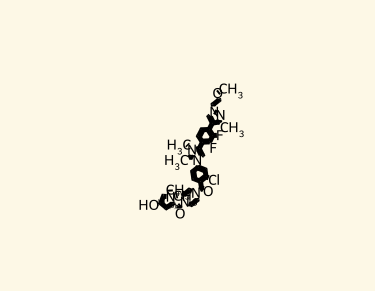 COCCn1cc(-c2ccc(C3=CN(c4ccc(C(=O)N5CCN(C(=O)[C@@H]6C[C@H](O)C[N+]6(C)C)CC5)c(Cl)c4)C(C)N3C)c(F)c2F)c(C)n1